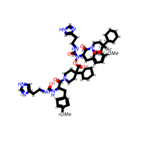 COc1ccc(CC(NC(=O)NCCc2c[nH]cn2)C(=O)N2CCC(C(=O)ON(C(=O)NCCc3c[nH]cn3)C(Cc3ccc(OC)cc3)C(=O)N3CCC(C(C)=O)(C4CCCCC4)CC3)(C3CCCCC3)CC2)cc1